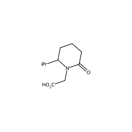 CC(C)C1CCCC(=O)N1CC(=O)O